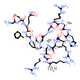 CC[C@H](C)[C@H](NC(=O)[C@H](CCCNC(=N)N)NC(=O)CNC(=O)[C@@H](NC(=O)[C@@H]1CCCN1C(=O)[C@H](Cc1ccccc1)NC(=O)[C@H](CCC(N)=O)NC(=O)[C@H](CC(C)C)NC(=O)CN)C(C)C)C(=O)N[C@@H](Cc1c[nH]cn1)C(=O)N[C@@H](CCCNC(=N)N)C(=O)N[C@@H](CC(C)C)C(=O)N[C@@H](CC(C)C)C(=O)N[C@@H](CCCNC(=N)N)C(=O)N[C@@H](CCCCN)C(=O)O